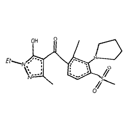 CCn1nc(C)c(C(=O)c2ccc(S(C)(=O)=O)c(N3CCCC3)c2C)c1O